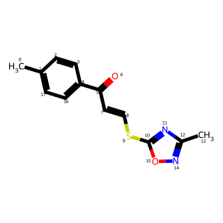 Cc1ccc(C(=O)/C=C/Sc2nc(C)no2)cc1